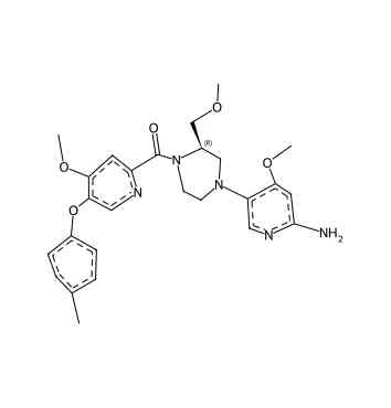 COC[C@H]1CN(c2cnc(N)cc2OC)CCN1C(=O)c1cc(OC)c(Oc2ccc(C)cc2)cn1